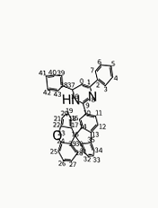 C1=C(c2ccccc2)N=C(c2ccc3c(c2)C2(c4ccccc4Oc4ccccc42)c2ccccc2-3)NC1c1ccccc1